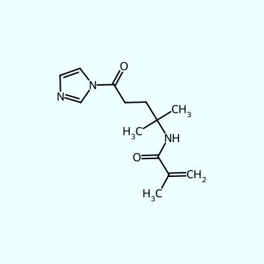 C=C(C)C(=O)NC(C)(C)CCC(=O)n1ccnc1